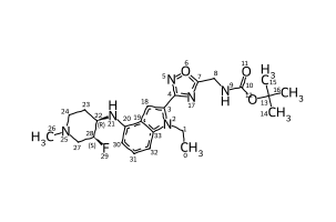 CCn1c(-c2noc(CNC(=O)OC(C)(C)C)n2)cc2c(N[C@@H]3CCN(C)C[C@@H]3F)cccc21